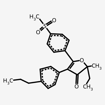 CCCc1ccc(C2=C(c3ccc(S(C)(=O)=O)cc3)OC(C)(CC)C2=O)cc1